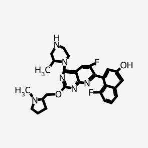 CC1CNCCN1c1nc(OCC2CCCN2C)nc2nc(-c3cc(O)cc4cccc(F)c34)c(F)cc12